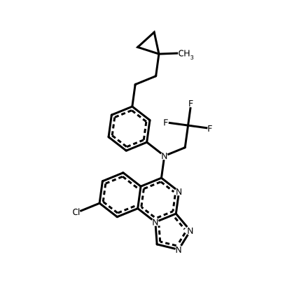 CC1(CCc2cccc(N(CC(F)(F)F)c3nc4nncn4c4cc(Cl)ccc34)c2)CC1